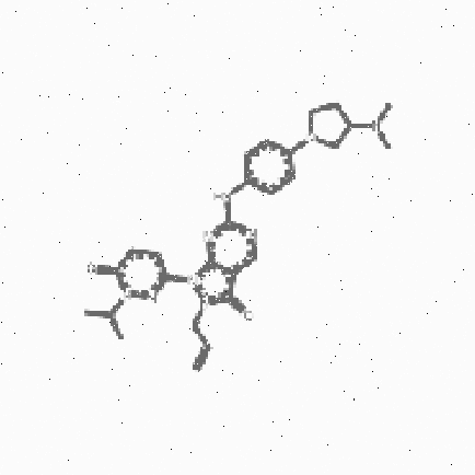 C=CCn1c(=O)c2cnc(Nc3ccc(N4CCC(N(C)C)C4)cc3)nc2n1-c1ccc(=O)n(C(C)C)n1